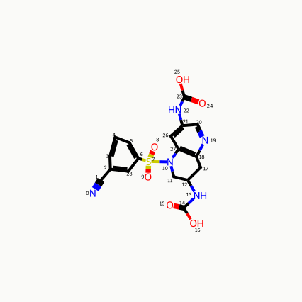 N#Cc1cccc(S(=O)(=O)N2CC(NC(=O)O)Cc3ncc(NC(=O)O)cc32)c1